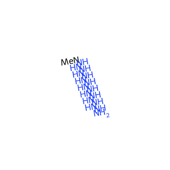 CNNNNNNNNNNNNNNNNN